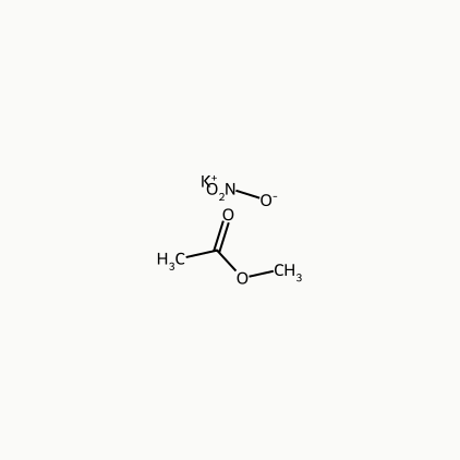 COC(C)=O.O=[N+]([O-])[O-].[K+]